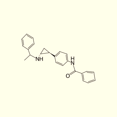 CC(N[C@@H]1C[C@H]1c1ccc(NC(=O)c2ccccc2)cc1)c1ccccc1